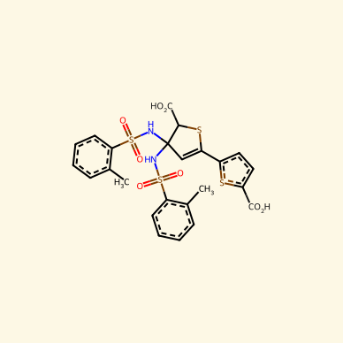 Cc1ccccc1S(=O)(=O)NC1(NS(=O)(=O)c2ccccc2C)C=C(c2ccc(C(=O)O)s2)SC1C(=O)O